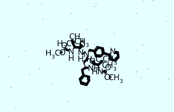 COC(=O)N[C@H](C(=O)NN(CC[C@H](Cc1ccccc1)NC(=O)[C@H](NC(=O)OC)C(C)(C)C)Cc1ccc(-c2ccccn2)cc1)C(C)(C)C